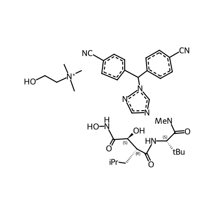 CNC(=O)[C@@H](NC(=O)[C@H](CC(C)C)[C@H](O)C(=O)NO)C(C)(C)C.C[N+](C)(C)CCO.N#Cc1ccc(C(c2ccc(C#N)cc2)n2cncn2)cc1